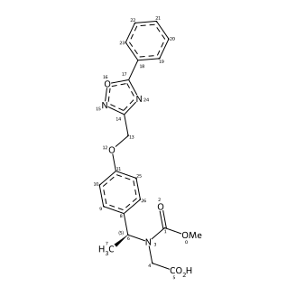 COC(=O)N(CC(=O)O)[C@@H](C)c1ccc(OCc2noc(-c3ccccc3)n2)cc1